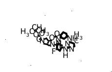 Cc1cnc(Nc2cnc(N3CC4CN(OC(=O)OC(C)(C)C)CC4C3)c(F)c2)nc1Nc1ccc2oc(=O)[nH]c2c1